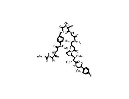 CCCCCC(=O)NC(C(=O)NCC(=O)Nc1ccc(COC(=O)N(C)C(C(=O)NCC(=O)N(C)C([C@@H](C)CC)[C@@H](CC(=O)N2CCC[C@H]2[C@H](OC)[C@@H](C)C(=O)N[C@@H](C)C(=O)c2ccc(F)cc2)OC)C(C)C)cc1)C(C)C